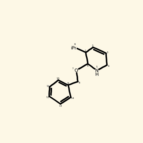 CC(C)C1C=CCNC1OCc1ccccc1